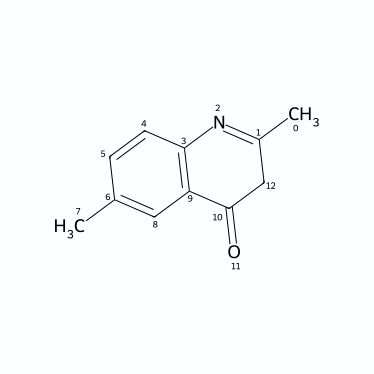 CC1=Nc2ccc(C)cc2C(=O)C1